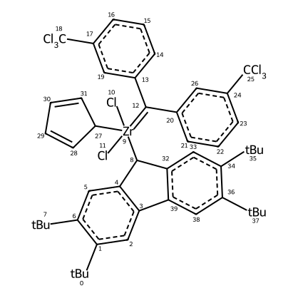 CC(C)(C)c1cc2c(cc1C(C)(C)C)[CH]([Zr]([Cl])([Cl])(=[C](c1cccc(C(Cl)(Cl)Cl)c1)c1cccc(C(Cl)(Cl)Cl)c1)[CH]1C=CC=C1)c1cc(C(C)(C)C)c(C(C)(C)C)cc1-2